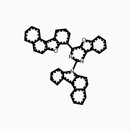 c1ccc2c(c1)ccc1oc3c(-c4nc(-n5c6ccccc6c6c7ccccc7ccc65)nc5c4oc4ccccc45)cccc3c12